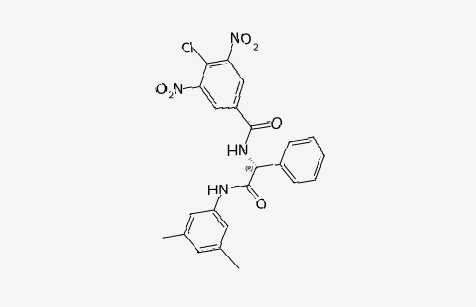 Cc1cc(C)cc(NC(=O)[C@H](NC(=O)c2cc([N+](=O)[O-])c(Cl)c([N+](=O)[O-])c2)c2ccccc2)c1